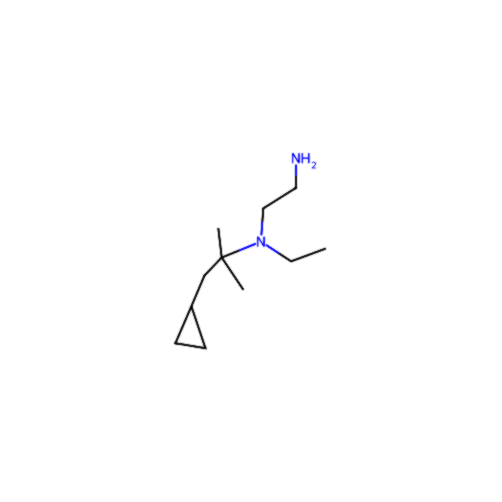 CCN(CCN)C(C)(C)CC1CC1